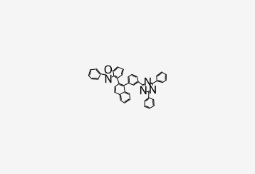 c1ccc(-c2nc(-c3ccccc3)nc(-c3cccc(-c4c(-c5cccc6oc(-c7ccccc7)nc56)ccc5ccccc45)c3)n2)cc1